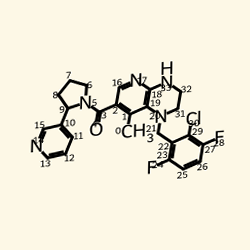 Cc1c(C(=O)N2CCCC2c2cccnc2)cnc2c1N(Cc1c(F)ccc(F)c1Cl)CCN2